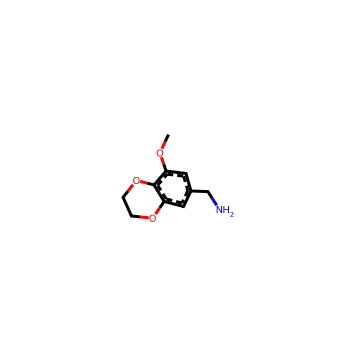 COc1cc(CN)cc2c1OCCO2